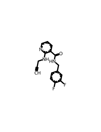 C#CCNc1ncccc1C(=O)NCc1ccc(F)c(F)c1